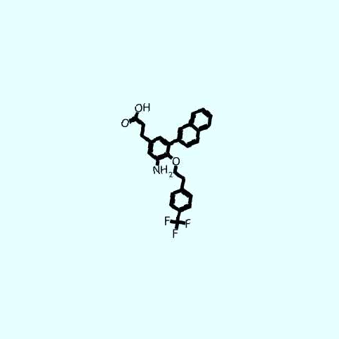 Nc1cc(CCC(=O)O)cc(-c2ccc3ccccc3c2)c1OCCc1ccc(C(F)(F)F)cc1